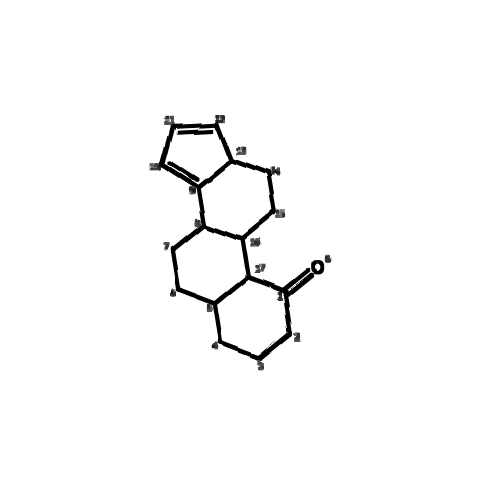 O=C1CCCC2CCC3C4=CC=CC4CCC3C12